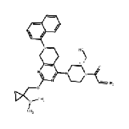 C=CC(=O)N1CCN(c2nc(OCC3(N(C)C)CC3)nc3c2CCN(c2c[c]cc4ccccc24)C3)C[C@@H]1CC#N